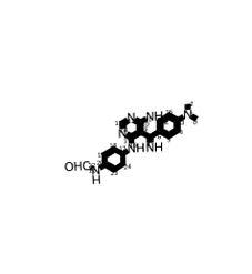 CN(C)c1ccc(C(=N)c2c(N)ncnc2NC2C=CC(NC=O)=CC2)cc1